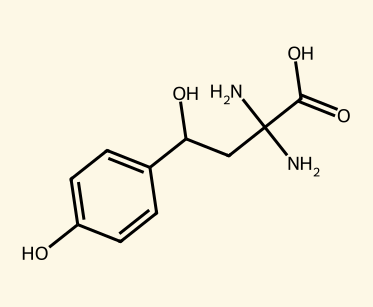 NC(N)(CC(O)c1ccc(O)cc1)C(=O)O